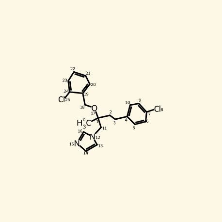 CC(CCc1ccc(Cl)cc1)(Cn1ccnc1)OCc1ccccc1Cl